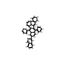 C1=CCCC(C2=C3C4=CC=CC5C6=C(C=C(C3=C(c3ccccc3)C3C=CC(c7cc8ccccc8cn7)=CC23)C45)CCC=C6)=C1